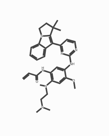 C=CC(=O)Nc1cc(Nc2nccc(-c3c4n(c5ccccc35)CCC4(C)C)n2)c(OC)cc1N(C)CCN(C)C